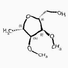 CO[C@@H]1[C@H](OC)[C@@H](CO)O[C@H]1C